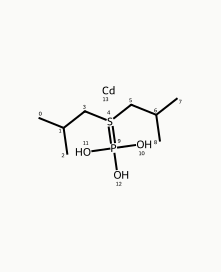 CC(C)CS(CC(C)C)=P(O)(O)O.[Cd]